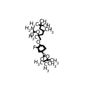 C[C@@H](CC(C)(C)C)CC(C)(COc1ccc(B2OC(C)(C)C(C)(C)O2)cc1F)OC(N)=O